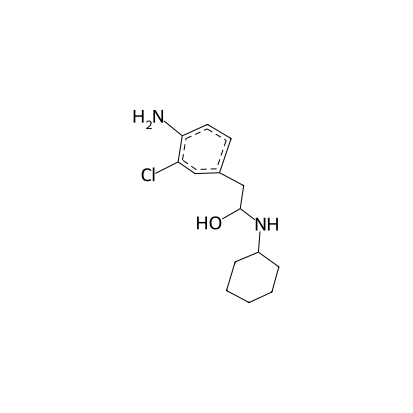 Nc1ccc(CC(O)NC2CCCCC2)cc1Cl